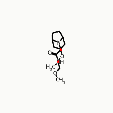 CNC(=O)CN1C2CCC1CC(OCCOC)C2